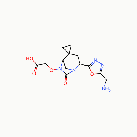 NCc1nnc([C@@H]2CC3(CC3)C3CN2C(=O)N3OCC(=O)O)o1